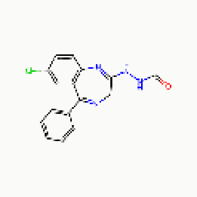 O=CNNC1=Nc2ccc(Cl)cc2C(c2ccccc2)=NC1